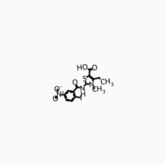 CCC1=C(C(=O)O)SC(NC(=O)c2cc([N+](=O)[O-])ccc2I)N1C